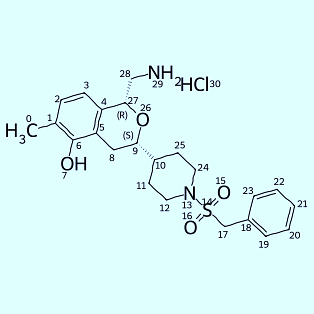 Cc1ccc2c(c1O)C[C@@H](C1CCN(S(=O)(=O)Cc3ccccc3)CC1)O[C@H]2CN.Cl